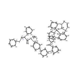 NC(N/C(=N\Cc1ccccc1)c1ccccc1)c1ccc(-c2cccc(-c3ccccc3Nc3cccc(-c4cccc5c4C(c4ccccc4)(c4ccccc4)C4CCC=CC54)c3)c2)cc1